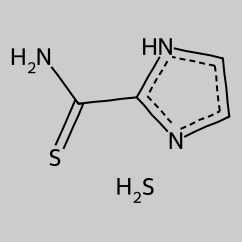 NC(=S)c1ncc[nH]1.S